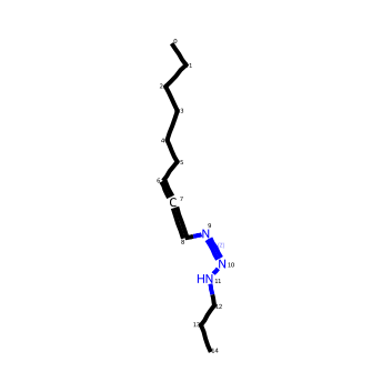 CCCCCCC=C=C/N=N\NCCC